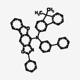 CC1(C)c2ccccc2-c2cc(N(c3cccc(-c4ccccc4)c3)c3c4nc(-c5ccccc5)oc4cc4c3oc3ccccc34)ccc21